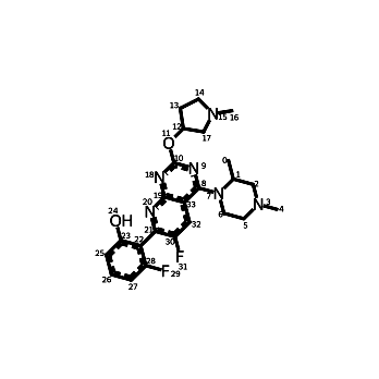 CC1CN(C)CCN1c1nc(OC2CCN(C)C2)nc2nc(-c3c(O)cccc3F)c(F)cc12